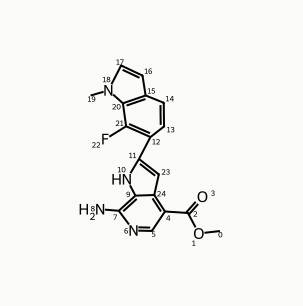 COC(=O)c1cnc(N)c2[nH]c(-c3ccc4ccn(C)c4c3F)cc12